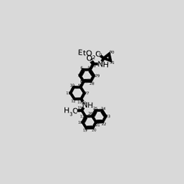 CCOC(=O)C1(NC(=O)c2ccc(C3CCCC(NC(C)c4cccc5ccccc45)C3)cc2)CC1